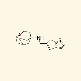 C1=C(CNC23CC4CCC(CC(C4)C2)C3)Cc2sccc21